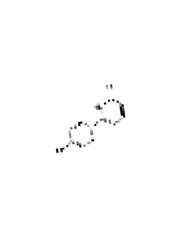 O=c1cccc(-c2ccc(Cl)cc2)[nH]1